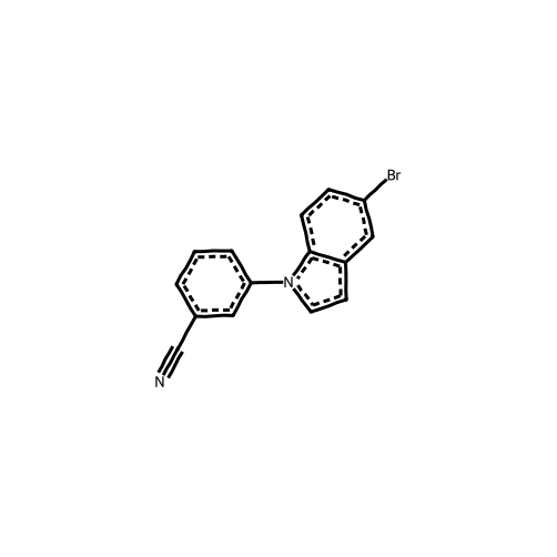 N#Cc1cccc(-n2ccc3cc(Br)ccc32)c1